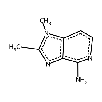 Cc1nc2c(N)nccc2n1C